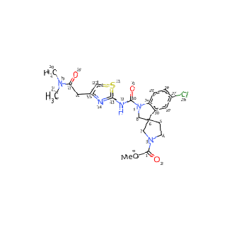 COC(=O)N1CCC2(C1)CN(C(=O)Nc1nc(CC(=O)N(C)C)cs1)c1ccc(Cl)cc12